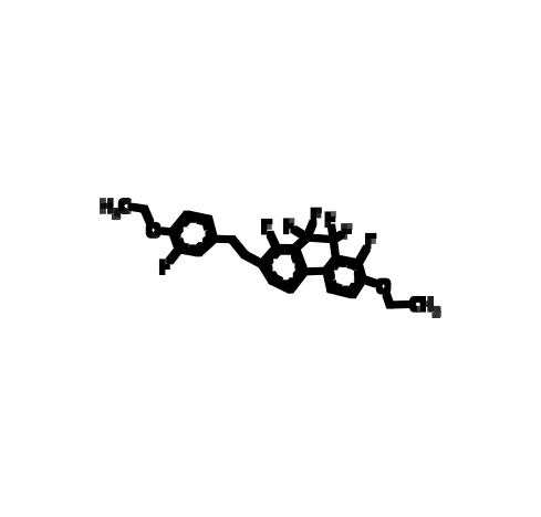 CCOc1ccc(CCc2ccc3c(c2F)C(F)(F)C(F)(F)c2c-3ccc(OCC)c2F)cc1F